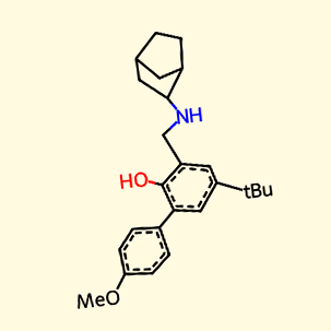 COc1ccc(-c2cc(C(C)(C)C)cc(CNC3CC4CCC3C4)c2O)cc1